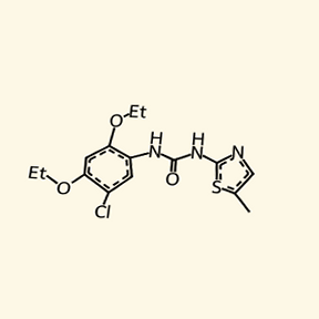 CCOc1cc(OCC)c(NC(=O)Nc2ncc(C)s2)cc1Cl